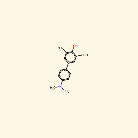 CN(C)c1ccc(-c2cc(C=O)c(O)c([N+](=O)[O-])c2)cc1